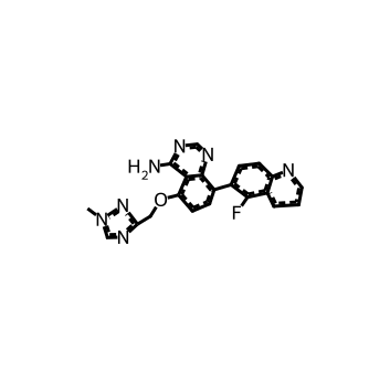 Cn1cnc(COc2ccc(-c3ccc4ncccc4c3F)c3ncnc(N)c23)n1